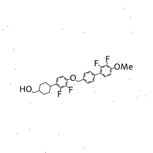 COc1ccc(-c2ccc(COc3ccc(C4CCC(CO)CC4)c(F)c3F)cc2)c(F)c1F